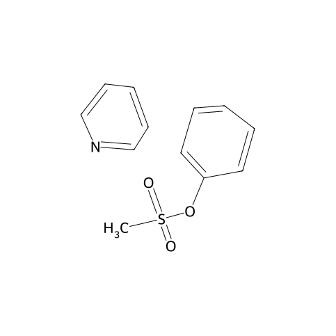 CS(=O)(=O)Oc1ccccc1.c1ccncc1